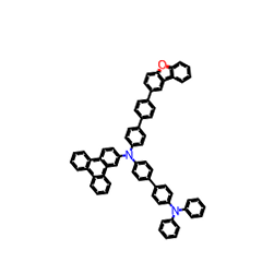 c1ccc(N(c2ccccc2)c2ccc(-c3ccc(N(c4ccc(-c5ccc(-c6ccc7oc8ccccc8c7c6)cc5)cc4)c4ccc5c6ccccc6c6ccccc6c5c4)cc3)cc2)cc1